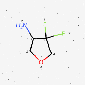 NC1COCC1(F)F